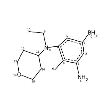 Bc1cc(N)c(C)c(N(CC)C2CCOCC2)c1